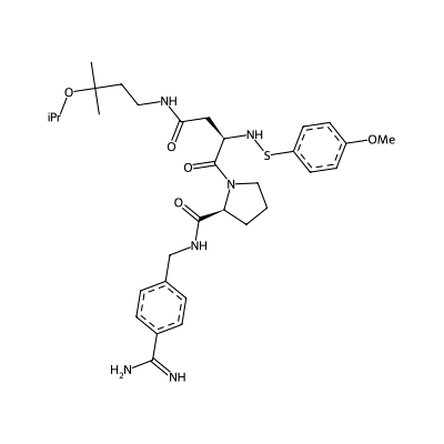 COc1ccc(SN[C@H](CC(=O)NCCC(C)(C)OC(C)C)C(=O)N2CCC[C@H]2C(=O)NCc2ccc(C(=N)N)cc2)cc1